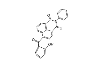 O=C(c1ccccc1O)c1ccc2c3c(cccc13)C(=O)N(c1ccccc1)C2=O